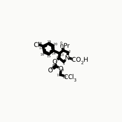 CCCC1CN(C(=O)O)CC(OC(=O)OCC(Cl)(Cl)Cl)C1c1ccc(Cl)cc1